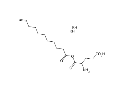 C=CCCCCCCCCC(=O)OC(=O)C(N)CCC(=O)O.[KH].[KH]